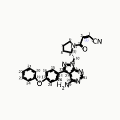 N#C/C=C\C(=O)N1CCC[C@H]1Cn1nc(-c2ccc(Oc3ccccc3)cc2)c2c(N)ncnc21